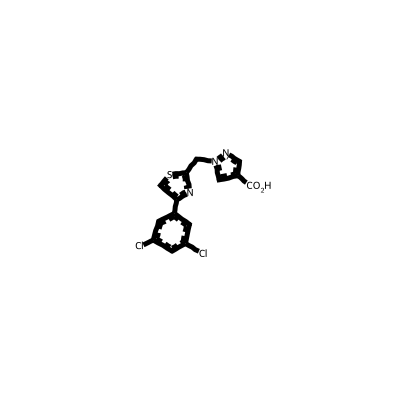 O=C(O)c1cnn(Cc2nc(-c3cc(Cl)cc(Cl)c3)cs2)c1